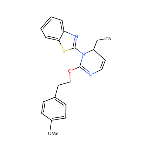 COc1ccc(CCOC2=NC=CC(CC#N)N2c2nc3ccccc3s2)cc1